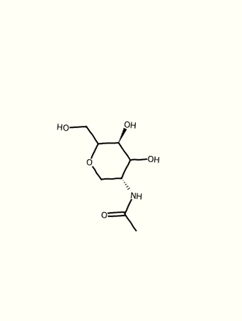 CC(=O)N[C@@H]1COC(CO)[C@@H](O)C1O